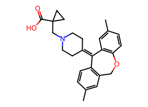 Cc1ccc2c(c1)COc1ccc(C)cc1C2=C1CCN(CC2(C(=O)O)CC2)CC1